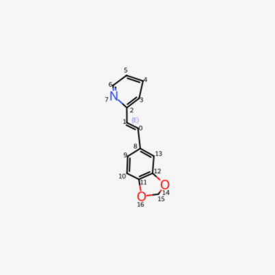 C(=C\c1ccccn1)/c1ccc2c(c1)OCO2